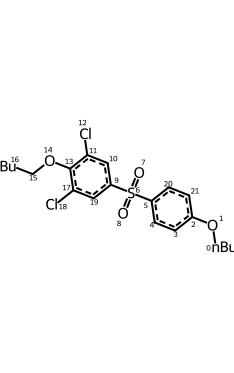 CCCCOc1ccc(S(=O)(=O)c2cc(Cl)c(OCC(C)CC)c(Cl)c2)cc1